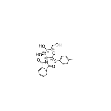 Cc1ccc(S[C@@H]2O[C@H](CO)[C@H](O)[C@H](O)[C@H]2N2C(=O)c3ccccc3C2=O)cc1